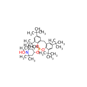 CC(C)(C)c1cc2c(c(C(C)(C)C)c1)OP(OC1CC(C)(C)N(O)C(C)(C)C1)Oc1c(cc(C(C)(C)C)cc1C(C)(C)C)C2